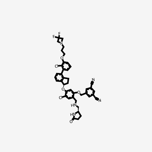 N#Cc1cc(C#N)cc(COc2cc(O[C@H]3CCc4c(-c5cccc(OCCCN6CC(F)(F)C6)c5Cl)cccc43)c(Cl)cc2CNC[C@H]2CCC(=O)N2)c1